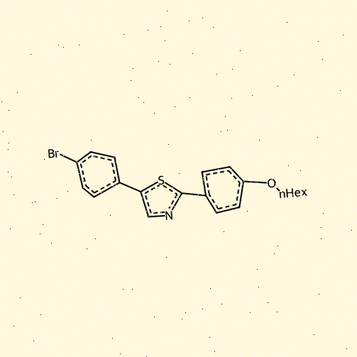 CCCCCCOc1ccc(-c2ncc(-c3ccc(Br)cc3)s2)cc1